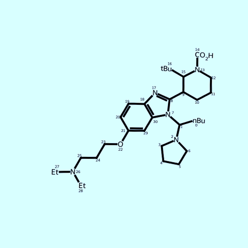 CCCCC(N1CCCC1)n1c(C2CCCN(C(=O)O)C2C(C)(C)C)nc2ccc(OCCCN(CC)CC)cc21